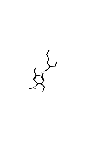 CCCCC(CC)COc1cc(CC)c(OC)cc1CC